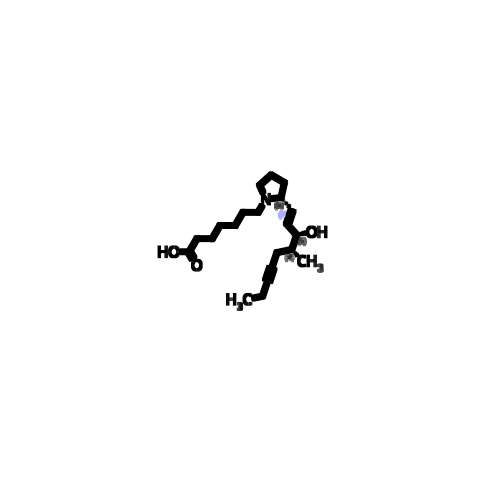 CCC#CC[C@@H](C)[C@H](O)/C=C/[C@H]1CCCN1CCCCCCC(=O)O